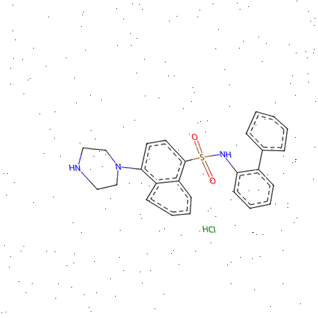 Cl.O=S(=O)(Nc1ccccc1-c1ccccc1)c1ccc(N2CCNCC2)c2ccccc12